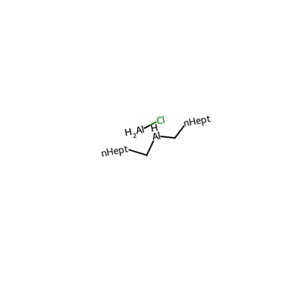 CCCCCCC[CH2][AlH][CH2]CCCCCCC.[AlH2][Cl]